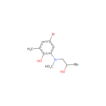 Cc1cc(Br)cc(N(CC(O)C(C)(C)C)C(=O)O)c1O